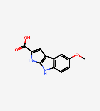 COc1ccc2[nH]c3[nH]c(C(=O)O)cc3c2c1